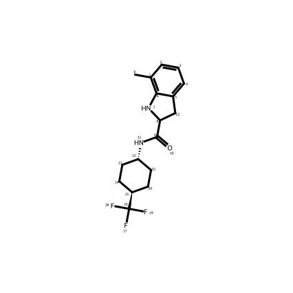 Cc1cccc2c1NC(C(=O)N[C@H]1CC[C@H](C(F)(F)F)CC1)C2